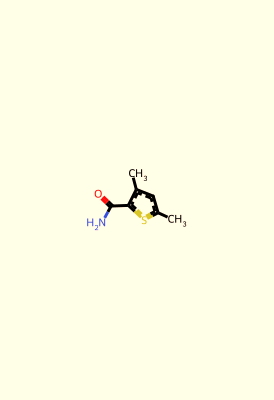 Cc1cc(C)c(C(N)=O)s1